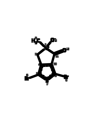 C[N+]1([O-])Cc2c(Br)sc(Br)c2C1=O